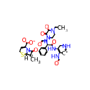 CCN1CCN(N(C=O)C(C(=O)NC2=C(NC=O)[C+]=CNC2)c2ccccc2)C(=O)C1=O.C[C@H]1C(=O)N2C(C(=O)[O-])=CCS[C@@H]12